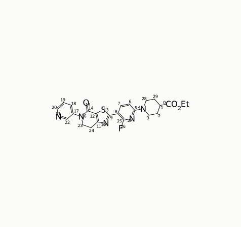 CCOC(=O)C1CCN(c2ccc(-c3nc4c(s3)C(=O)N(c3cccnc3)CC4)c(F)n2)CC1